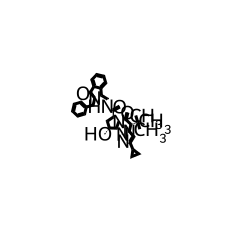 CC(C)(C)[C@@H](C(=O)N1C[C@H](O)C[C@H]1C(=O)NCC1c2ccccc2C(=O)N1Cc1ccccc1)n1cc(C2CC2)nn1